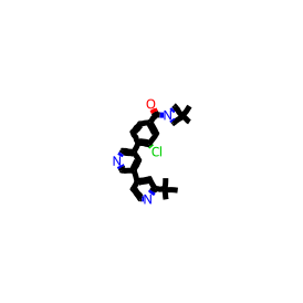 CC1(C)CN(C(=O)c2ccc(-c3cncc(-c4ccnc(C(C)(C)C)c4)c3)c(Cl)c2)C1